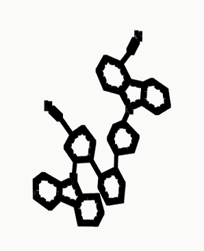 N#Cc1ccc(-c2ccccc2-c2ccc(-n3c4ccccc4c4c(C#N)cccc43)cc2)c(-n2c3ccccc3c3ccccc32)c1